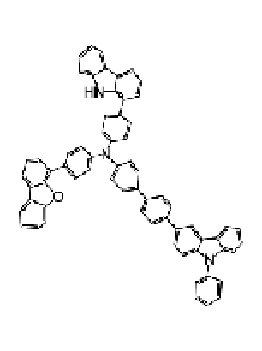 c1ccc(-n2c3ccccc3c3cc(-c4ccc(-c5ccc(N(c6ccc(-c7cccc8c7[nH]c7ccccc78)cc6)c6ccc(-c7cccc8c7oc7ccccc78)cc6)cc5)cc4)ccc32)cc1